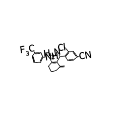 C=C1CCCC(Nc2cccc(C(F)(F)F)c2)=C1C(N)c1ccc(C#N)cc1Cl